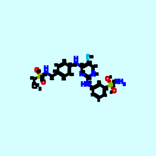 NS(=O)(=O)c1cccc(Nc2ncc(F)c(Nc3ccc(CNS(=O)(=O)CC(F)(F)F)cc3)n2)c1